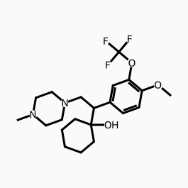 COc1ccc(C(CN2CCN(C)CC2)C2(O)CCCCC2)cc1OC(F)(F)F